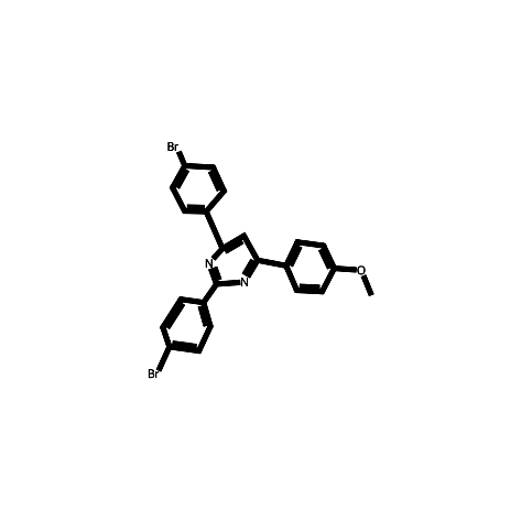 COc1ccc(-c2cc(-c3ccc(Br)cc3)nc(-c3ccc(Br)cc3)n2)cc1